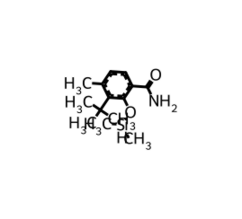 Cc1ccc(C(N)=O)c(O[SiH](C)C)c1C(C)(C)C